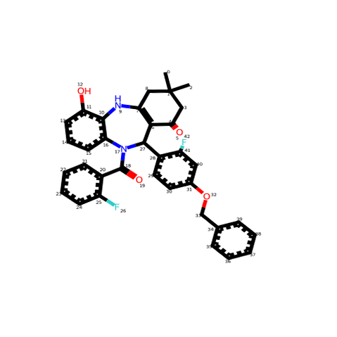 CC1(C)CC(=O)C2=C(C1)Nc1c(O)cccc1N(C(=O)c1ccccc1F)C2c1ccc(OCc2ccccc2)cc1F